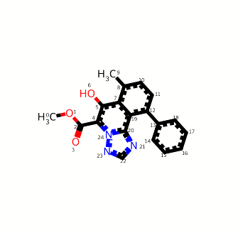 COC(=O)c1c(O)c2c(C)ccc(-c3ccccc3)c2c2ncnn12